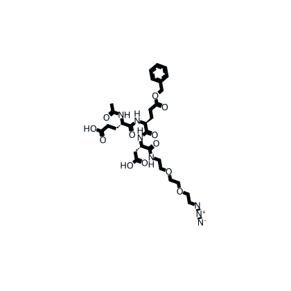 CC(=O)N[C@@H](CCC(=O)O)C(=O)N[C@@H](CCC(=O)OCc1ccccc1)C(=O)N[C@@H](CC(=O)O)C(=O)NCCOCCOCCN=[N+]=[N-]